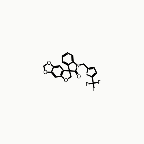 O=C1N(Cc2ccc(C(F)(F)F)s2)c2ccccc2C12COc1cc3c(cc12)OCO3